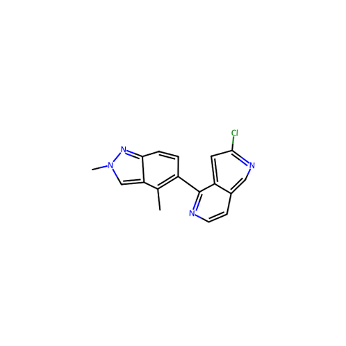 Cc1c(-c2nccc3cnc(Cl)cc23)ccc2nn(C)cc12